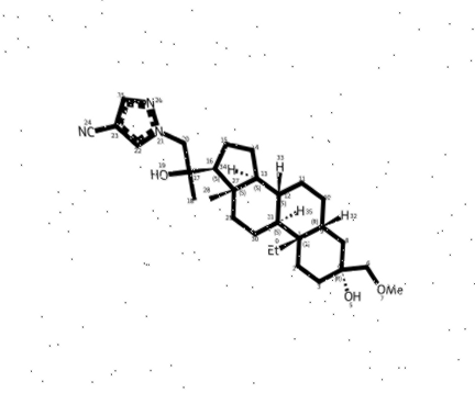 CC[C@]12CC[C@](O)(COC)C[C@H]1CC[C@H]1[C@@H]3CC[C@H](C(C)(O)Cn4cc(C#N)cn4)[C@@]3(C)CC[C@@H]12